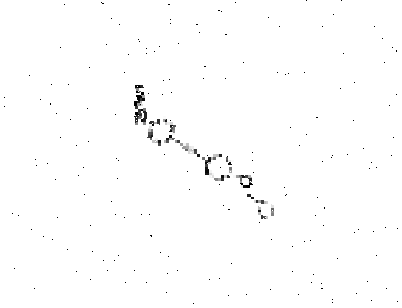 S=C=Nc1ccc(C#Cc2ccc(OCC3CCC3)cc2)cc1